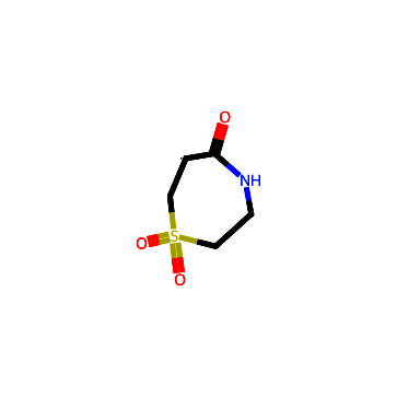 O=C1[CH]CS(=O)(=O)CCN1